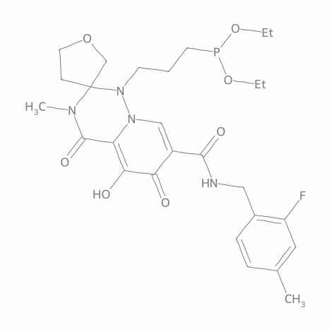 CCOP(CCCN1n2cc(C(=O)NCc3ccc(C)cc3F)c(=O)c(O)c2C(=O)N(C)C12CCOC2)OCC